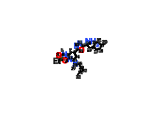 CCS(=O)(=O)N(C)c1cc(-c2nnc(C(N)Cc3ccc(C)cc3)o2)cc(N(C)CC2CC2C)n1